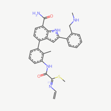 C=C/N=C(\SC)C(=O)Nc1cccc(-c2ccc(C(N)=O)c3[nH]c(-c4ccccc4CNC)cc23)c1C